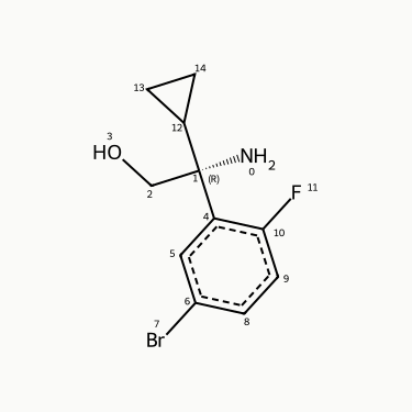 N[C@@](CO)(c1cc(Br)ccc1F)C1CC1